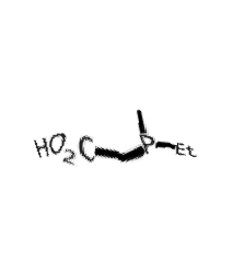 CCP(C)CC(=O)O